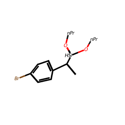 CCCO[SiH](OCCC)C(C)c1ccc(Br)cc1